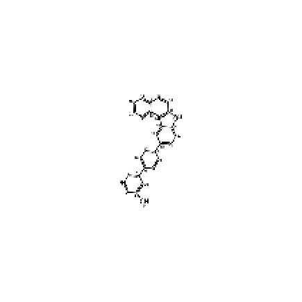 N#Cc1cncc(-c2ccc(-c3ccc4oc5ccc6ccccc6c5c4c3)cc2)c1